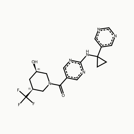 O=C(c1cnc(NC2(c3cncnc3)CC2)nc1)N1C[C@H](O)C[C@H](C(F)(F)F)C1